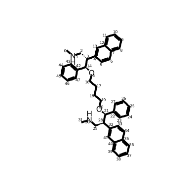 CNC[C@H](c1ccc2ccccc2c1)[C@@H](OCCCCO[C@@H](c1ccccc1)[C@H](CNC)c1ccc2ccccc2c1)c1ccccc1